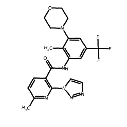 Cc1ccc(C(=O)Nc2cc(C(F)(F)F)cc(N3CCOCC3)c2C)c(-n2ccnn2)n1